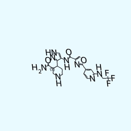 NC(=O)[C@@H]1CNCCC1c1n[nH]cc1NC(=O)c1coc(-c2ccnc(NCC(F)(F)F)c2)n1